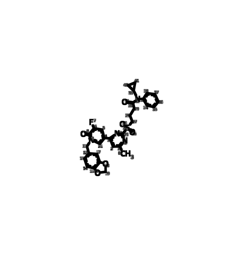 Cc1cc(-c2cc(F)c(=O)n(Cc3ccc4c(c3)OCO4)c2)nc(S(=O)(=O)CCCC(=O)N(c2ccccc2)C2CC2)n1